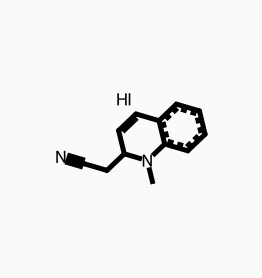 CN1c2ccccc2C=CC1CC#N.I